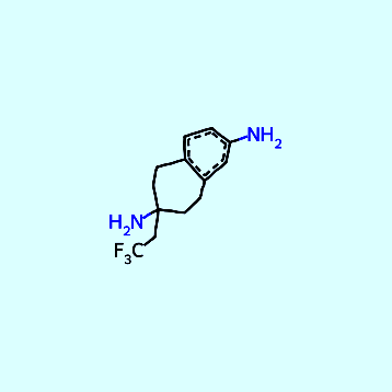 Nc1ccc2c(c1)CCC(N)(CC(F)(F)F)CC2